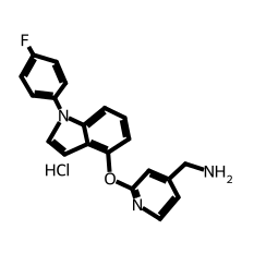 Cl.NCc1ccnc(Oc2cccc3c2ccn3-c2ccc(F)cc2)c1